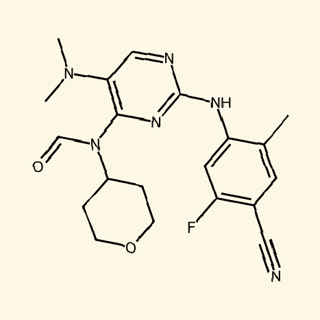 Cc1cc(C#N)c(F)cc1Nc1ncc(N(C)C)c(N(C=O)C2CCOCC2)n1